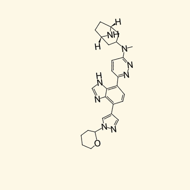 CN(c1ccc(-c2ccc(-c3cnn(C4CCCCO4)c3)c3nc[nH]c23)nn1)C1C[C@H]2CC[C@@H](C1)N2